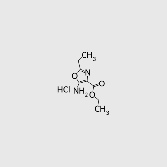 CCOC(=O)c1nc(CC)oc1N.Cl